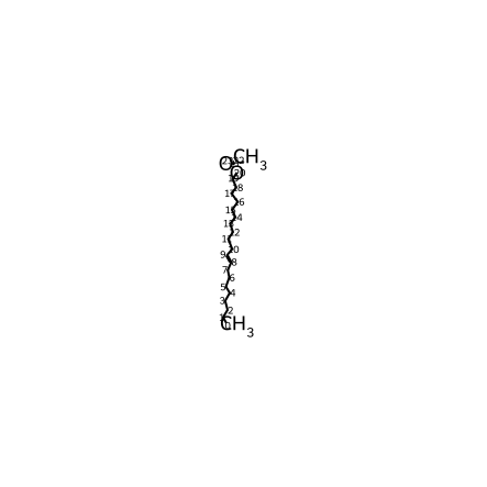 CCCCCCCCC=CCCCCCCCCCCOC(C)=O